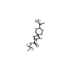 CC(S)C1CCC2(CC1)CN(C(=O)OC(C)(C)C)C2